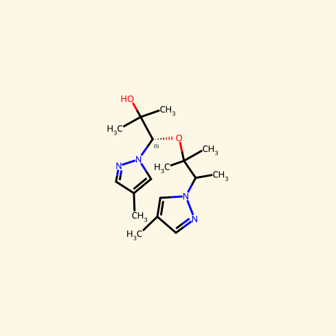 Cc1cnn(C(C)C(C)(C)O[C@H](n2cc(C)cn2)C(C)(C)O)c1